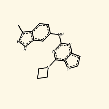 Cc1n[nH]c2cc(Nc3nc(N4CCC4)c4occc4n3)ccc12